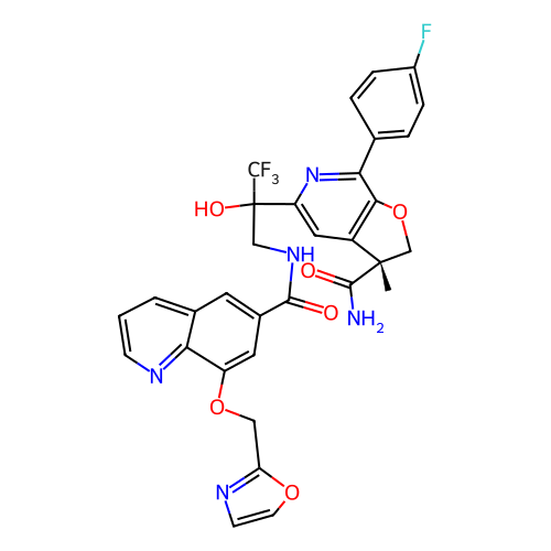 C[C@]1(C(N)=O)COc2c1cc(C(O)(CNC(=O)c1cc(OCc3ncco3)c3ncccc3c1)C(F)(F)F)nc2-c1ccc(F)cc1